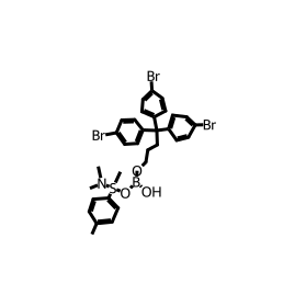 Cc1ccc(S(C)(OB(O)OCCCC(c2ccc(Br)cc2)(c2ccc(Br)cc2)c2ccc(Br)cc2)N(C)C)cc1